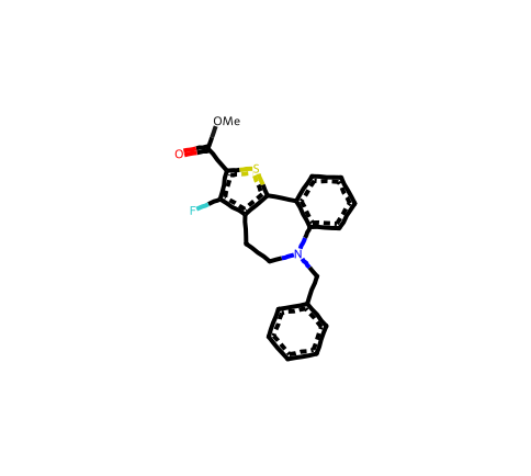 COC(=O)c1sc2c(c1F)CCN(Cc1ccccc1)c1ccccc1-2